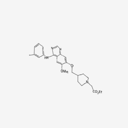 CCOC(=O)CN1CCC(COc2cc3ncnc(Nc4cccc(C)c4)c3cc2OC)CC1